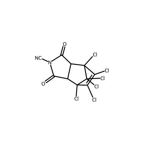 N#CN1C(=O)C2C(C1=O)C1(Cl)C(Cl)=C(Cl)C2(Cl)C1(Cl)Cl